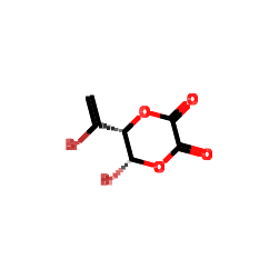 C=C(Br)[C@@H]1OC(=O)C(=O)O[C@@H]1Br